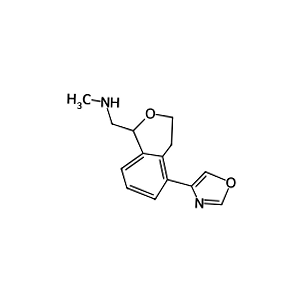 CNCC1OCCc2c(-c3cocn3)cccc21